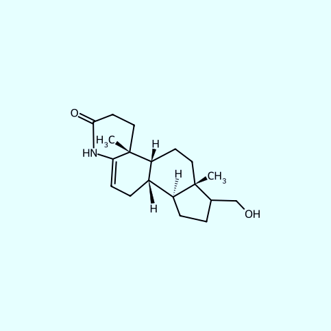 C[C@]12CCC(=O)NC1=CC[C@@H]1[C@H]2CC[C@]2(C)C(CO)CC[C@@H]12